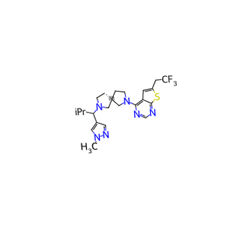 CC(C)C(c1cnn(C)c1)N1CC[C@@]2(CCN(c3ncnc4sc(CC(F)(F)F)cc34)C2)C1